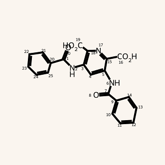 O=C(Nc1cc(NC(=O)c2ccccc2)c(C(=O)O)nc1C(=O)O)c1ccccc1